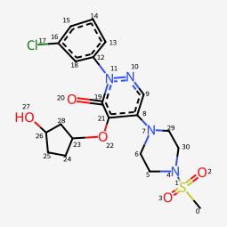 CS(=O)(=O)N1CCN(c2cnn(-c3cccc(Cl)c3)c(=O)c2OC2CCC(O)C2)CC1